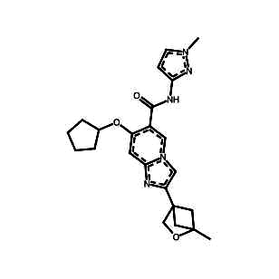 Cn1ccc(NC(=O)c2cn3cc(C45COC(C)(C4)C5)nc3cc2OC2CCCC2)n1